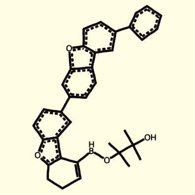 CC(C)(O)C(C)(C)OBC1=CCCc2oc3ccc(-c4ccc5c(c4)oc4ccc(-c6ccccc6)cc45)cc3c21